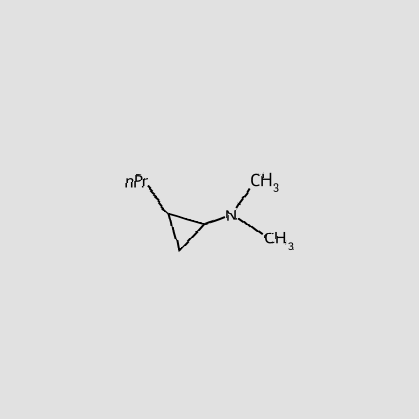 CCCC1CC1N(C)C